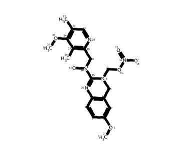 COc1ccc2c(c1)CN(CO[N+](=O)[O-])C([S+]([O-])Cc1ncc(C)c(OC)c1C)=N2